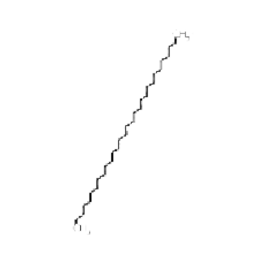 [CH2]CCCCCCCCCCCCCCCCCC=CCCCCCCCCCC